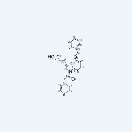 O=C(O)/C=C/c1cn(C(=O)CC2C=CCCC2)c2cccc(OCc3ccccc3)c12